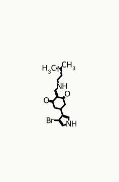 CN(C)CCNC=C1C(=O)CC(c2c[nH]cc2Br)CC1=O